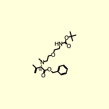 C=C(C)[C@@H](C(=O)OCc1ccccc1)N(C)CCOCCNC(=O)OC(C)(C)C